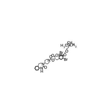 COC(=O)[C@@H](Cc1cc(Br)c(OCOCC[Si](C)(C)C)c(Br)c1)OC(=O)N1CCC(N2CCc3ccccc3NC2=O)CC1